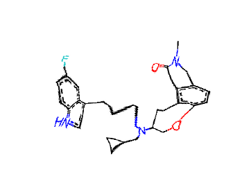 CN1Cc2ccc3c(c2C1=O)CC(N(CCCc1c[nH]c2ccc(F)cc12)CC1CC1)CO3